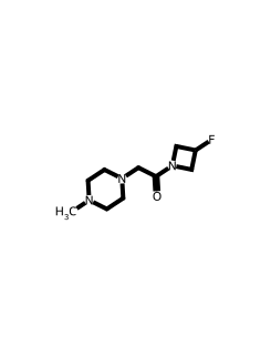 CN1CCN(CC(=O)N2CC(F)C2)CC1